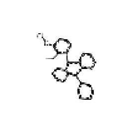 CCc1c(OCl)cccc1-c1c2ccccc2c(-c2ccccc2)c2ccccc12